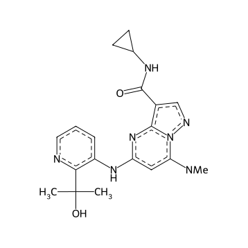 CNc1cc(Nc2cccnc2C(C)(C)O)nc2c(C(=O)NC3CC3)cnn12